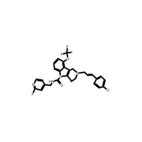 O=C(NCc1ccnc(F)c1)n1c2c(c3c(OC(F)(F)F)cccc31)CN(C/C=C/c1ccc(Cl)cc1)CC2